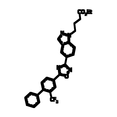 CCOC(=O)CCCn1ncc2cc(-c3noc(-c4ccc(-c5ccccc5)c(C(F)(F)F)c4)n3)ccc21